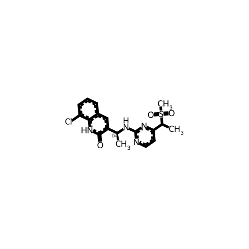 CC(c1ccnc(N[C@@H](C)c2cc3cccc(Cl)c3[nH]c2=O)n1)S(C)(=O)=O